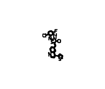 O=C1N/C(=N\c2cc(F)ccc2Cl)S/C1=C\c1ccc2nccc(-c3cccs3)c2c1